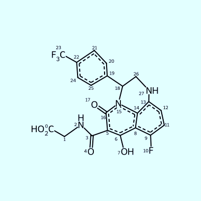 O=C(O)CNC(=O)c1c(O)c2c(F)ccc3c2n(c1=O)C(c1ccc(C(F)(F)F)cc1)CN3